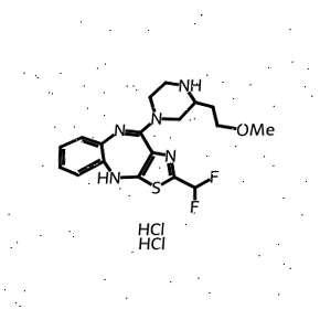 COCCC1CN(C2=Nc3ccccc3Nc3sc(C(F)F)nc32)CCN1.Cl.Cl